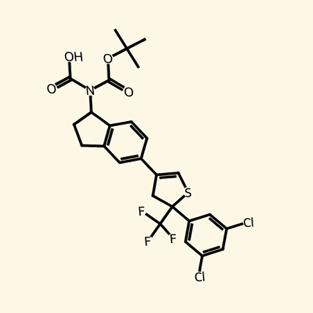 CC(C)(C)OC(=O)N(C(=O)O)C1CCc2cc(C3=CSC(c4cc(Cl)cc(Cl)c4)(C(F)(F)F)C3)ccc21